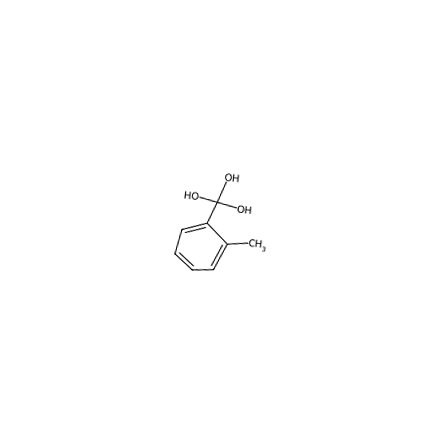 Cc1ccccc1C(O)(O)O